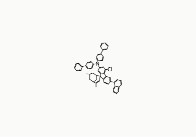 CC1=CC2(c3ccc(-c4cccc5ccccc45)cc3-c3c(Cl)cc(N(c4ccc(-c5ccccc5)cc4)c4ccc(-c5ccccc5)cc4)cc32)C2CC(C)CC1C2